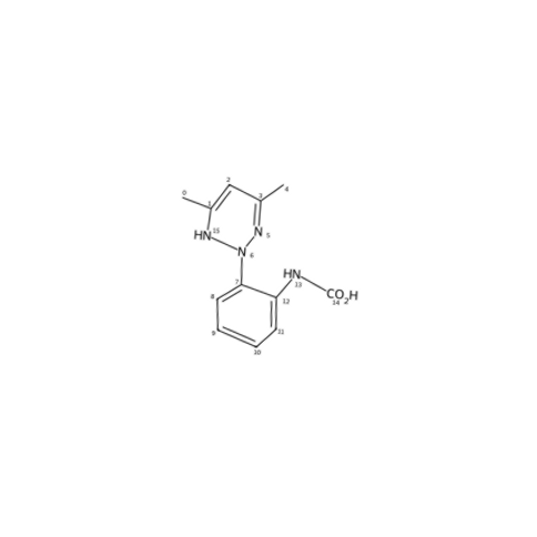 CC1=CC(C)=NN(c2ccccc2NC(=O)O)N1